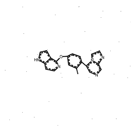 Cc1cc(Oc2nccc3[nH]ccc23)ccc1-c1cncc2nccn12